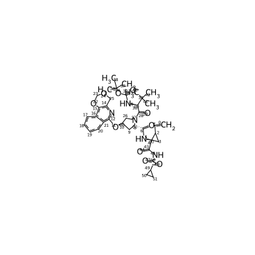 C=CC1C[C@]1(NC(=O)[C@@H]1C[C@@H](Oc2nc3c(c4ccccc24)OCOC3)CN1C(=O)[C@@H](NC(=O)OC(C)(C)C)C(C)(C)C)C(=O)NS(=O)(=O)C1CC1